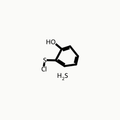 Oc1ccccc1SCl.S